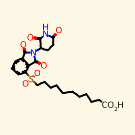 O=C(O)CCCCCCCCCCS(=O)(=O)c1cccc2c1C(=O)N(C1CCC(=O)NC1=O)C2=O